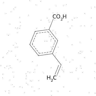 C=Cc1cccc(C(=O)O)c1